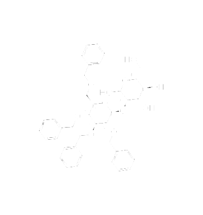 OC[C@H]1OC(O)[C@H](O[C@@H]2O[C@H](COCc3ccccc3)[C@@H](OCc3ccccc3)[C@H](OCc3ccccc3)[C@H]2OCc2ccccc2)[C@@H](O)[C@@H]1O